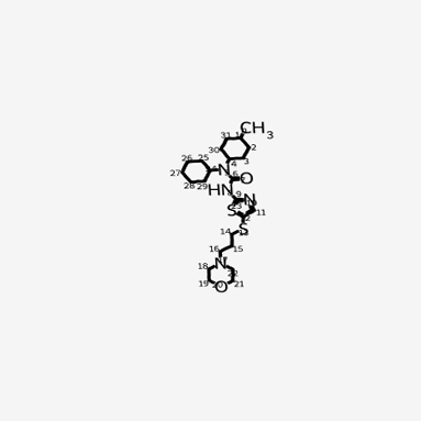 CC1CCC(N(C(=O)Nc2ncc(SCCCN3CCOCC3)s2)C2CCCCC2)CC1